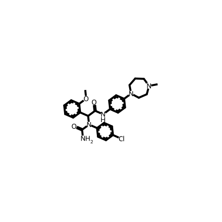 COc1ccccc1C(C(=O)Nc1ccc(N2CCCN(C)CC2)cc1)N(C(N)=O)c1ccc(Cl)cc1